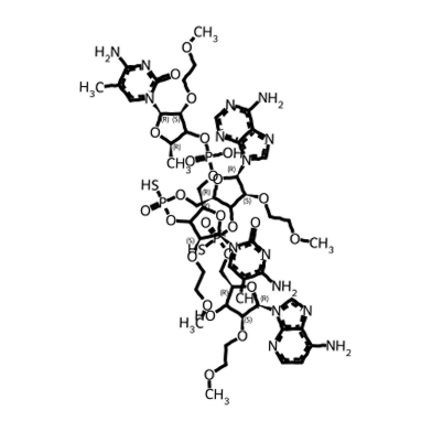 COCCO[C@H]1C(OP(=O)(O)OC[C@H]2O[C@@H](n3cc(C)c(N)nc3=O)[C@@H](OCCOC)C2OP(=O)(S)OC[C@H]2O[C@@H](n3cnc4c(N)ncnc43)[C@@H](OCCOC)C2OP(=O)(S)OC[C@H]2O[C@@H](n3cnc4c(N)ccnc43)[C@@H](OCCOC)C2O)[C@@H](C)O[C@H]1n1cc(C)c(N)nc1=O